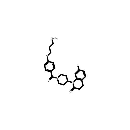 CC(=O)NCCCOc1ccc(C(=O)N2CCC(N3C(=O)CCc4ccc(F)cc43)CC2)cc1